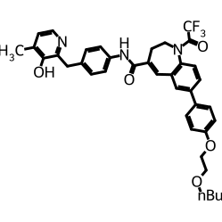 CCCCOCCOc1ccc(-c2ccc3c(c2)C=C(C(=O)Nc2ccc(Cc4nccc(C)c4O)cc2)CCN3C(=O)C(F)(F)F)cc1